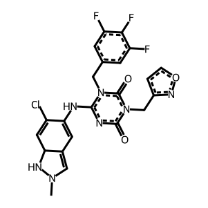 CN1C=C2C=C(Nc3nc(=O)n(Cc4ccon4)c(=O)n3Cc3cc(F)c(F)c(F)c3)C(Cl)=CC2N1